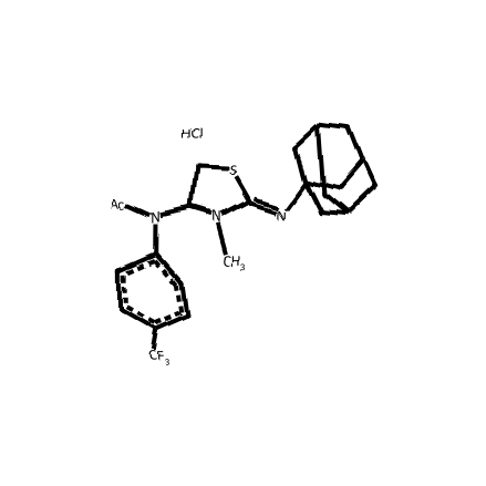 CC(=O)N(c1ccc(C(F)(F)F)cc1)C1CSC(=NC23CC4CC(CC(C4)C2)C3)N1C.Cl